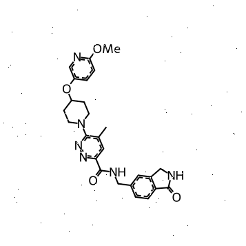 COc1ccc(OC2CCN(c3nnc(C(=O)NCc4ccc5c(c4)CNC5=O)cc3C)CC2)cn1